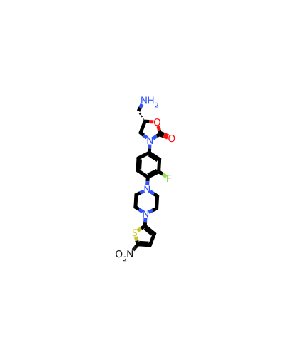 NC[C@H]1CN(c2ccc(N3CCN(c4ccc([N+](=O)[O-])s4)CC3)c(F)c2)C(=O)O1